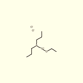 CCC[N](CCC)[Ti+2][O]CC.[Cl-].[Cl-]